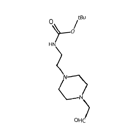 CC(C)(C)OC(=O)NCCN1CCN(CC=O)CC1